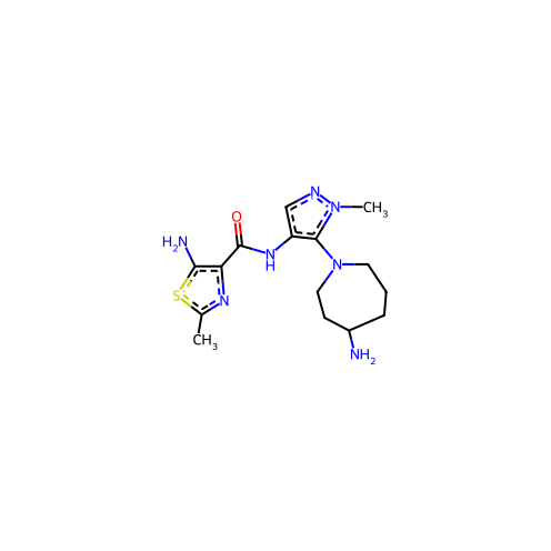 Cc1nc(C(=O)Nc2cnn(C)c2N2CCCC(N)CC2)c(N)s1